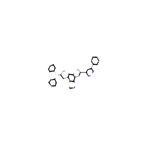 C1=C(c2cncc(-c3ccccc3)c2)CNc2c3c(c4nccnc4c21)C=C(N1c2ccccc2Sc2ccccc21)CN3